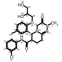 CN1N=C2CCC(C(=O)Nc3cccc(Cl)c3)[C@@H](c3cc(I)ccc3OCC(O)CO)N2CC1=O